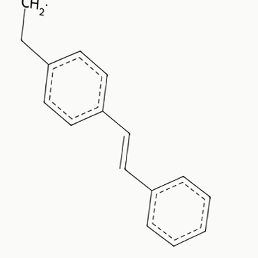 [CH2]Cc1ccc(C=Cc2ccccc2)cc1